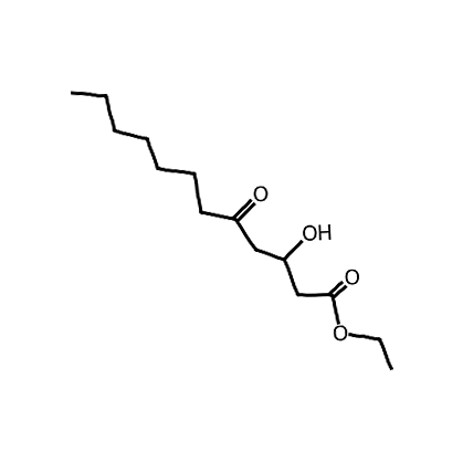 CCCCCCCC(=O)CC(O)CC(=O)OCC